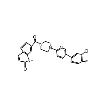 O=C(c1ccc2ccc(=O)[nH]c2c1)N1CCN(c2ccc(-c3ccc(F)c(Cl)c3)cn2)CC1